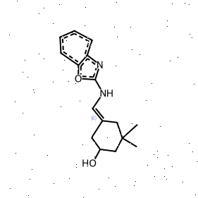 CC1(C)C/C(=C\Nc2nc3ccccc3o2)CC(O)C1